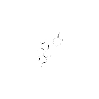 Cc1cnc(-c2cc(N3CCNC(=N)C3)ncc2Cl)c(C)c1